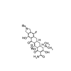 CCC(C)N1Cc2c(O)c3c(c(F)c2C1)C[C@H]1C[C@H]2[C@H](N(C)C)C(O)=C(C(N)=O)C(=O)[C@@]2(O)C(O)=C1C3=O